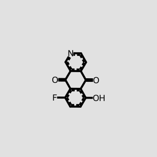 O=C1c2ccncc2C(=O)c2c(F)ccc(O)c21